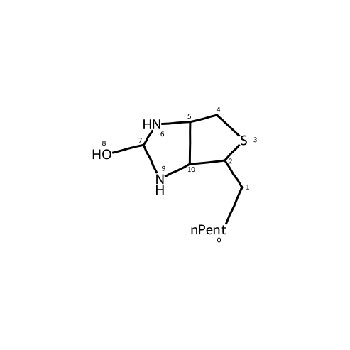 CCCCCCC1SCC2NC(O)NC21